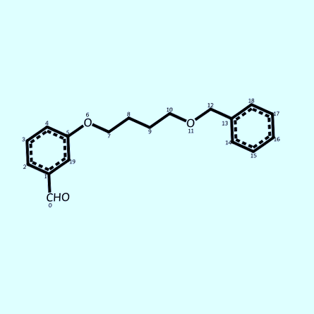 O=Cc1cccc(OCCCCOCc2ccccc2)c1